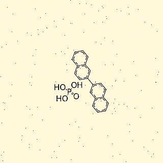 O=P(O)(O)O.c1ccc2cc(-c3ccc4ccccc4c3)ccc2c1